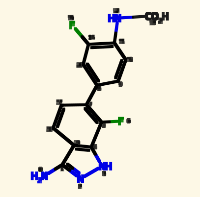 Nc1n[nH]c2c(F)c(-c3ccc(NC(=O)O)c(F)c3)ccc12